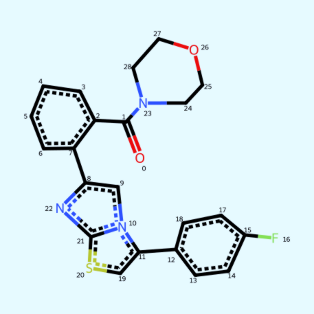 O=C(c1ccccc1-c1cn2c(-c3ccc(F)cc3)csc2n1)N1CCOCC1